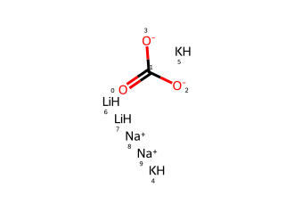 O=C([O-])[O-].[KH].[KH].[LiH].[LiH].[Na+].[Na+]